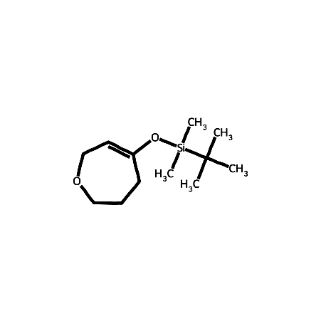 CC(C)(C)[Si](C)(C)OC1=CCOCCC1